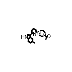 CC(=O)N1CCCN(c2cccc(-c3c[nH]c4ccc(C)cc34)n2)CC1